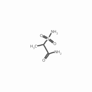 CC(C(N)=O)S(N)(=O)=O